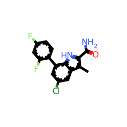 Cc1c(C(N)=O)[nH]c2c(-c3ccc(F)cc3F)cc(Cl)cc12